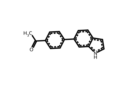 CC(=O)c1ccc(-c2ccc3cc[nH]c3c2)cc1